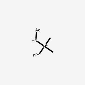 CCC[N+](C)(C)NC(C)=O